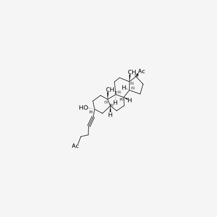 CC(=O)CCC#C[C@@]1(O)CC[C@@]2(C)[C@H](CC[C@@H]3[C@@H]2CC[C@]2(C)[C@@H](C(C)=O)CC[C@@H]32)C1